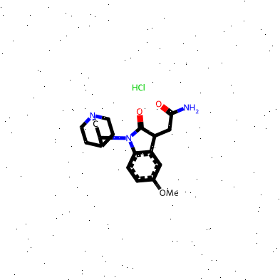 COc1ccc2c(c1)C(CC(N)=O)C(=O)N2C1CN2CCC1CC2.Cl